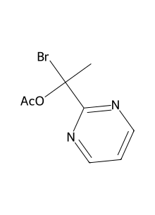 CC(=O)OC(C)(Br)c1ncccn1